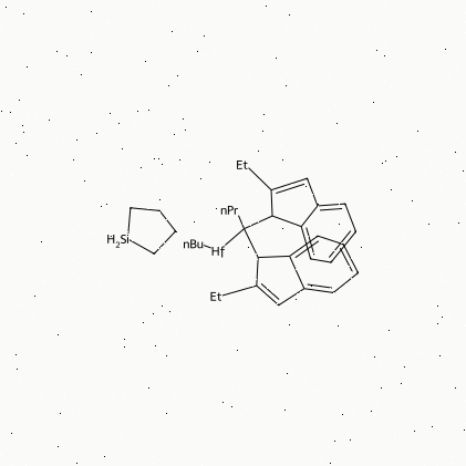 C1CC[SiH2]C1.CCC[CH2][Hf][C](CCC)(C1C(CC)=Cc2ccccc21)C1C(CC)=Cc2ccccc21